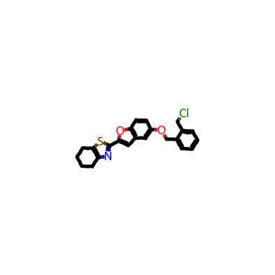 ClCc1ccccc1COc1ccc2oc(-c3nc4c(s3)CCCC4)cc2c1